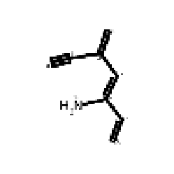 C#CC(=C)/C=C(\N)C=C